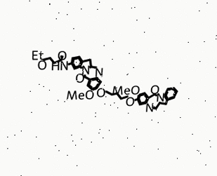 CCC(=O)CCC(=O)Nc1ccc2c(c1)N1C(=O)c3cc(OC)c(OCCCCCOc4cc5c(cc4OC)C(=O)N4c6ccccc6CC4C=N5)cc3N=CC1C2